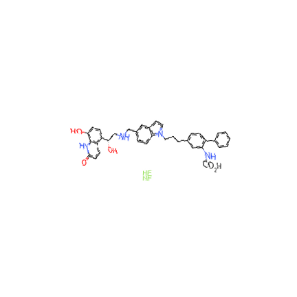 F.F.O=C(O)Nc1cc(CCCn2ccc3cc(CNC[C@H](O)c4ccc(O)c5[nH]c(=O)ccc45)ccc32)ccc1-c1ccccc1